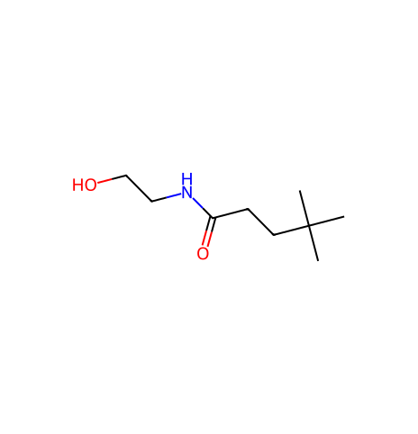 CC(C)(C)CCC(=O)NCCO